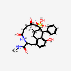 CNC(=O)C1Cc2ccc(O)c(c2C[C@@H](C)CS(=O)(=O)O)C(c2ccccc2)CCC(=O)CCC(=O)N1